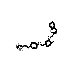 Cc1ccc(COc2ccc(C=Cc3nnn[nH]3)cc2)cc1OCc1ccc2ccccc2n1